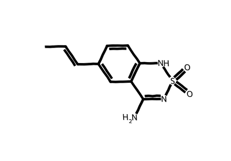 CC=Cc1ccc2c(c1)C(N)=NS(=O)(=O)N2